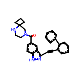 O=C(c1ccc2[nH]nc(C#Cc3ccccc3-c3ccccc3)c2c1)N1CCNC2(CCC2)C1